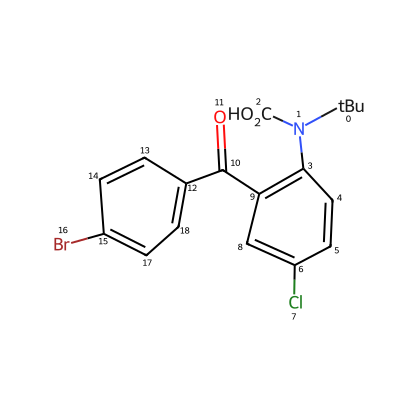 CC(C)(C)N(C(=O)O)c1ccc(Cl)cc1C(=O)c1ccc(Br)cc1